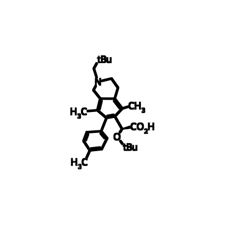 Cc1ccc(-c2c(C)c3c(c(C)c2[C@H](OC(C)(C)C)C(=O)O)CCN(CC(C)(C)C)C3)cc1